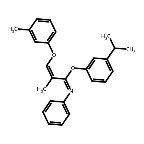 CC(=COc1cccc(C)c1)C(=Nc1ccccc1)Oc1cccc(C(C)C)c1